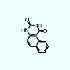 O=c1[nH]c(=O)c2c(ccc3ccccc32)[nH]1